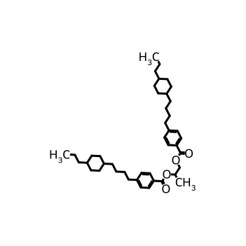 CCCC1CCC(CCCCc2ccc(C(=O)OCC(C)OC(=O)c3ccc(CCCCC4CCC(CCC)CC4)cc3)cc2)CC1